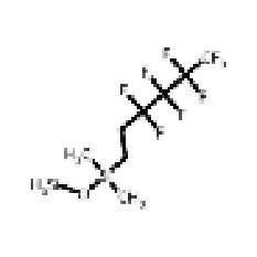 C[Si](C)(CCC(F)(F)C(F)(F)C(F)(F)C(F)(F)F)O[SiH3]